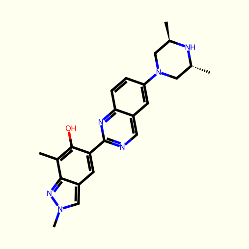 Cc1c(O)c(-c2ncc3cc(N4C[C@@H](C)N[C@H](C)C4)ccc3n2)cc2cn(C)nc12